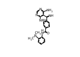 CNc1ncnc(N)c1C(=N)c1ccc(C(=O)Nc2ccccc2N(C)C)cc1